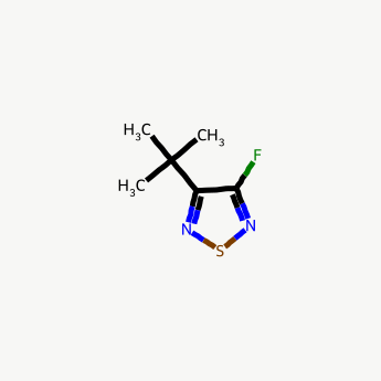 CC(C)(C)c1nsnc1F